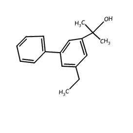 CCc1cc(-c2ccccc2)cc(C(C)(C)O)c1